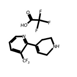 FC(F)(F)c1cccnc1C1=CCNCC1.O=C(O)C(F)(F)F